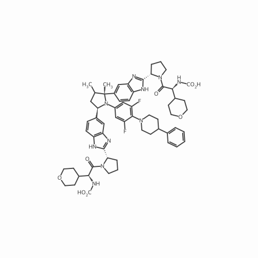 CC1C[C@H](c2ccc3[nH]c([C@@H]4CCCN4C(=O)[C@@H](NC(=O)O)C4CCOCC4)nc3c2)N(c2cc(F)c(N3CCC(c4ccccc4)CC3)c(F)c2)[C@@]1(C)c1ccc2[nH]c([C@@H]3CCCN3C(=O)[C@@H](NC(=O)O)C3CCOCC3)nc2c1